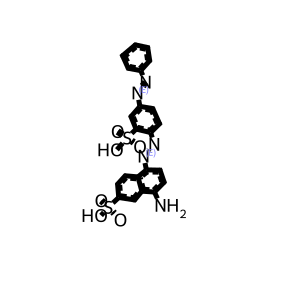 Nc1ccc(/N=N/c2ccc(/N=N/c3ccccc3)cc2S(=O)(=O)O)c2ccc(S(=O)(=O)O)cc12